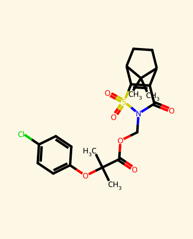 CC(C)(Oc1ccc(Cl)cc1)C(=O)OCN1C(=O)C2=C(C3CCC2C3(C)C)S1(=O)=O